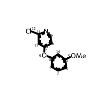 COc1cccc(Oc2ccnc(Cl)c2)c1